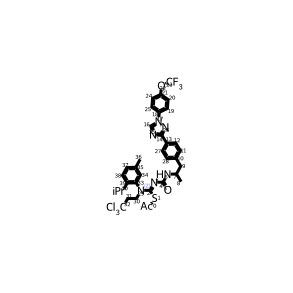 CC(=O)S/C(=N\C(=O)NC(C)Cc1ccc(-c2ncn(-c3ccc(OC(F)(F)F)cc3)n2)cc1)N(CCC(Cl)(Cl)Cl)c1cc(C)ccc1C(C)C